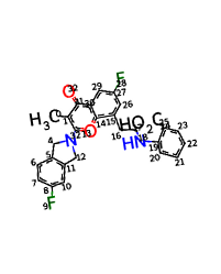 Cc1c(N2Cc3ccc(F)cc3C2)oc2c(CCNc3ccccc3C(=O)O)cc(F)cc2c1=O